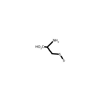 NC(CS[S])C(=O)O